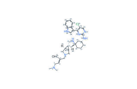 CN(C)C/C=C(\C=O)CN1C[C@@H]2[C@@H](CN[C@@]3(C)CCC[C@@H](Nc4ncc(Cl)c(-c5c[nH]c6ccccc56)n4)C3)[C@@H]2C1